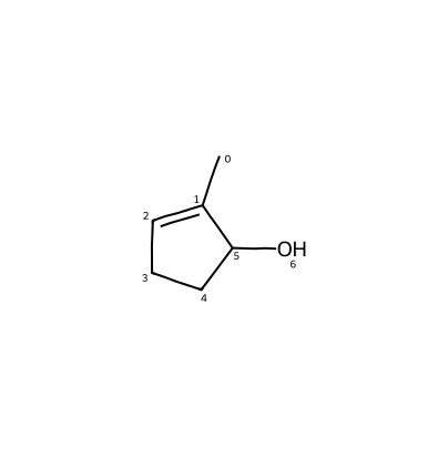 CC1=CCCC1O